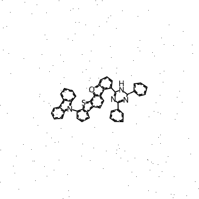 c1ccc(C2=NC(c3ccccc3)NC(c3cccc4oc5c(ccc6c7cccc(-n8c9ccccc9c9ccccc98)c7sc65)c34)=N2)cc1